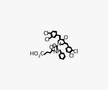 O=C(O)CCCC(O)N[C@H](Cc1ccccc1)C(=O)N1C/C(=C\c2ccc(Cl)c(Cl)c2)C(=O)/C(=C/c2ccc(Cl)c(Cl)c2)C1